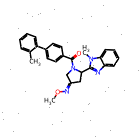 CON=C1CC(c2nc3ccccc3n2C)N(C(=O)c2ccc(-c3ccccc3C)cc2)C1